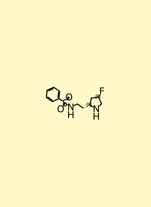 O=S(=O)(NCC[C@@H]1C[C@@H](F)CN1)c1ccccc1